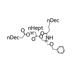 CCCCCCCCCCCCCC(=O)N[C@H](COCc1ccccc1)COC(=O)C[C@@H](CCCCCCC)OC(=O)CCCCCCCCCCC